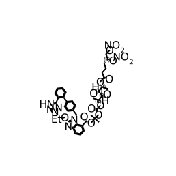 CCOc1nc2cccc(C(=O)OC(C)(C)OC(=O)O[C@@H]3CO[C@@H]4[C@@H]3OC[C@H]4OC(=O)CCC[C@H](CO[N+](=O)[O-])O[N+](=O)[O-])c2n1Cc1ccc(-c2ccccc2-c2nnn[nH]2)cc1